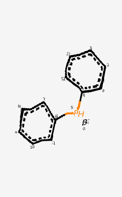 [B].c1ccc(Pc2ccccc2)cc1